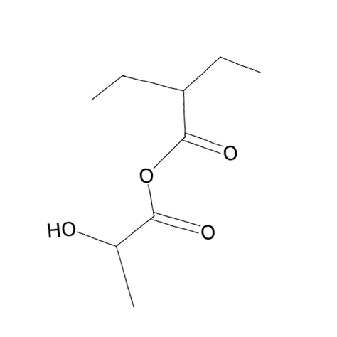 CCC(CC)C(=O)OC(=O)C(C)O